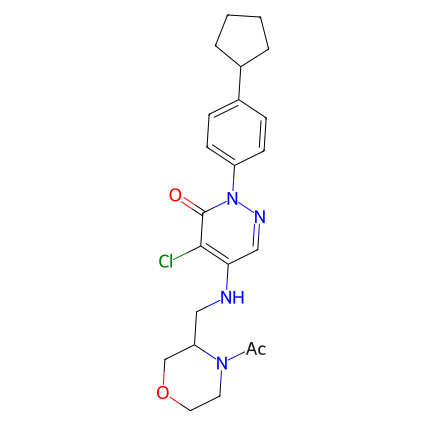 CC(=O)N1CCOCC1CNc1cnn(-c2ccc(C3CCCC3)cc2)c(=O)c1Cl